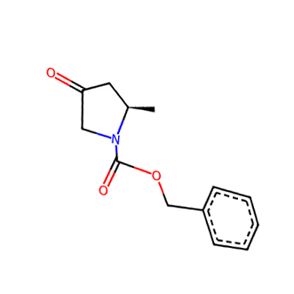 C[C@@H]1CC(=O)CN1C(=O)OCc1ccccc1